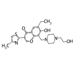 CCc1cc2c(=O)c(-c3nc(C)cs3)coc2c(CN2CCN(CCO)CC2)c1O